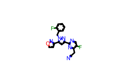 N#CCc1nc(-c2cc(-c3ccon3)n(Cc3ccccc3F)n2)ncc1F